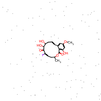 COc1cc(O)c2c(c1)/C=C/CC(O)C(O)C(=O)/C(I)=C\CC(C)OC2=O